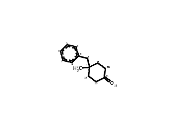 CC1(Cc2ccccc2)CCC(=O)CC1